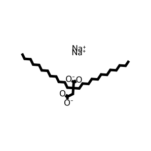 CCCCCCCCCCCCC(CCCCCCCCCCCC)(CC(=O)[O-])C(=O)[O-].[Na+].[Na+]